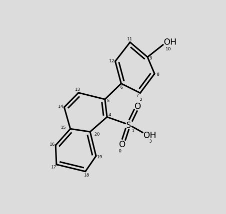 O=S(=O)(O)c1c(-c2ccc(O)cc2)ccc2ccccc12